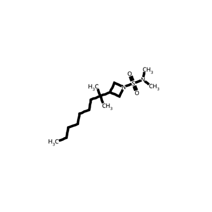 CCCCCCCC(C)(C)C1CN(S(=O)(=O)N(C)C)C1